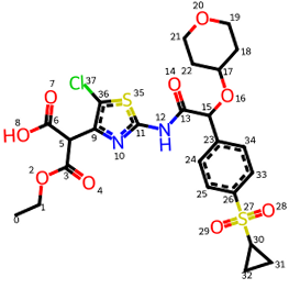 CCOC(=O)C(C(=O)O)c1nc(NC(=O)C(OC2CCOCC2)c2ccc(S(=O)(=O)C3CC3)cc2)sc1Cl